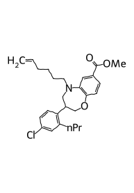 C=CCCCCN1CC(c2ccc(Cl)cc2CCC)COc2ccc(C(=O)OC)cc21